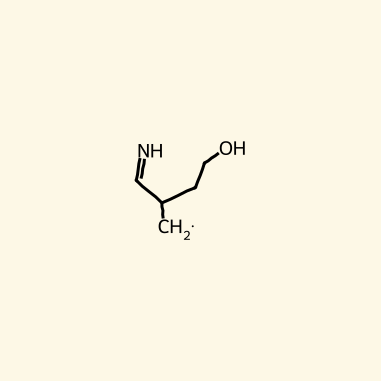 [CH2]C(C=N)CCO